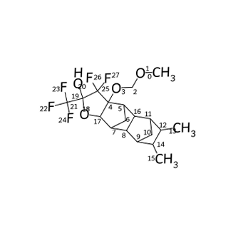 COCOC12C3CC(C4C5CC(C(C)C5C)C43)C1OC(O)(C(F)(F)F)C2(F)F